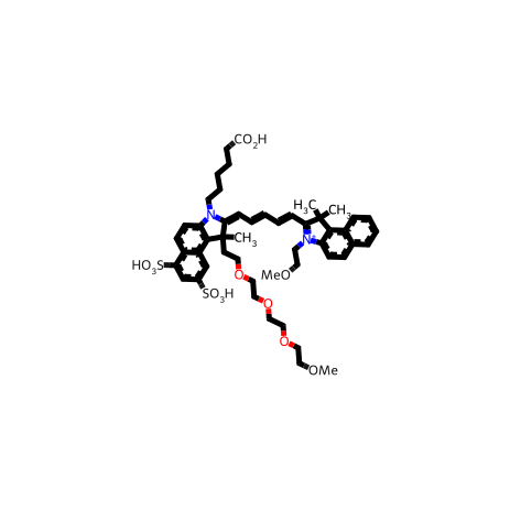 COCCOCCOCCOCCC1(C)\C(=C/C=C/C=C/C2=[N+](CCOC)c3ccc4ccccc4c3C2(C)C)N(CCCCCC(=O)O)c2ccc3c(S(=O)(=O)O)cc(S(=O)(=O)O)cc3c21